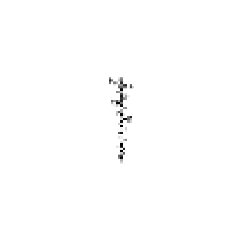 CCOCCOCCC(=O)NCC(=O)NCC(N)=O